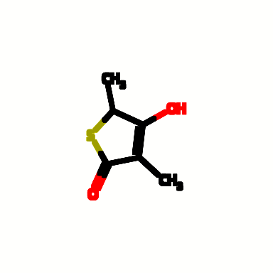 CC1=C(O)C(C)SC1=O